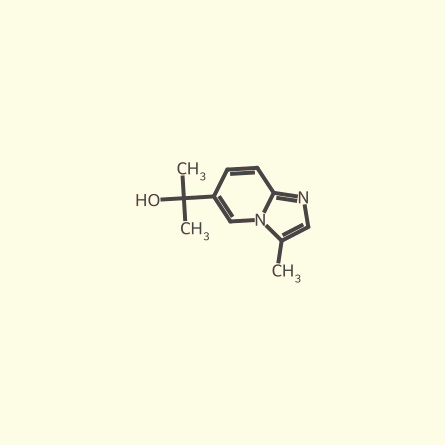 Cc1cnc2ccc(C(C)(C)O)cn12